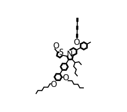 C#CC#CC#COc1cc(C)ccc1-c1ccn2c(-c3ccc(C=O)s3)c(-c3ccc(-c4ccc(OCCCCCC)cc4OCCCCCC)cc3)c(C(CC)CCCC)c2c1